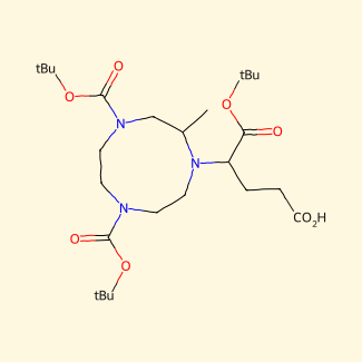 CC1CN(C(=O)OC(C)(C)C)CCN(C(=O)OC(C)(C)C)CCN1C(CCC(=O)O)C(=O)OC(C)(C)C